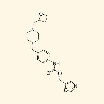 O=C(Nc1ccc(CC2CCN(CC3CCO3)CC2)cc1)OCc1cnco1